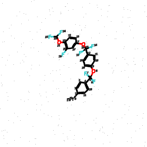 CCCc1ccc(C(F)(F)Oc2ccc(C(F)(F)Oc3ccc(OC(F)F)c(F)c3)cc2)cc1